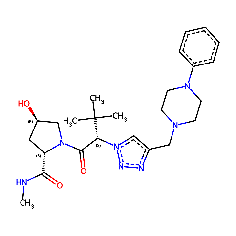 CNC(=O)[C@@H]1C[C@@H](O)CN1C(=O)[C@@H](n1cc(CN2CCN(c3ccccc3)CC2)nn1)C(C)(C)C